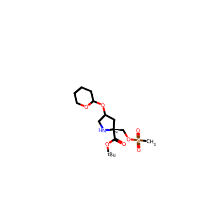 CC(C)(C)OC(=O)[C@@]1(COS(C)(=O)=O)CC(OC2CCCCO2)CN1